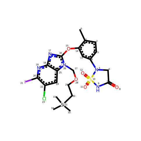 Cc1ccc(N2CC(=O)NS2(=O)=O)cc1Oc1nc2nc(I)c(Cl)cc2n1COCC[Si](C)(C)C